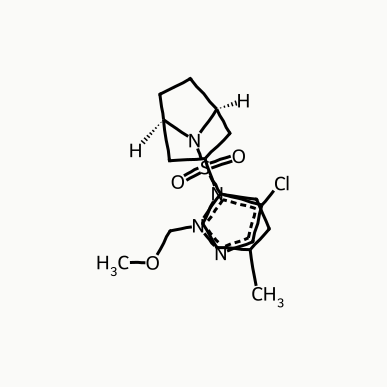 COCn1ncc(Cl)c1S(=O)(=O)N1[C@@H]2CC[C@H]1CC(N1CCC(C)CC1)C2